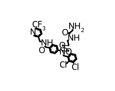 NCC(=O)NCCS(=O)(=O)N(Cc1cccc(Cl)c1Cl)c1ccc(C(=O)NCc2ccc(C(F)(F)F)nc2)cc1